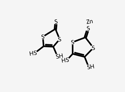 S=c1sc(S)c(S)s1.S=c1sc(S)c(S)s1.[Zn]